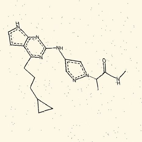 CNC(=O)C(C)n1cc(Nc2nc(CCCC3CC3)c3cc[nH]c3n2)cn1